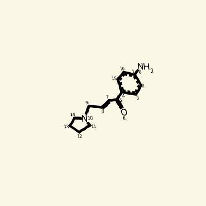 Nc1ccc(C(=O)/C=C/CN2CCCC2)cc1